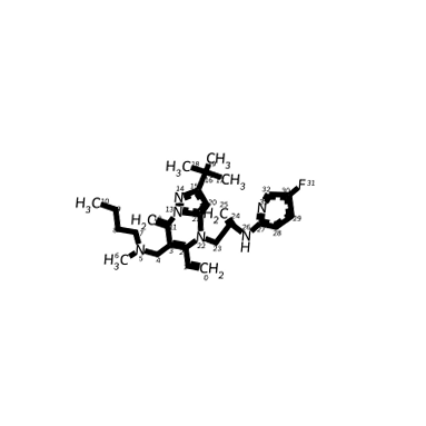 C=CC1=C(CN(C)CCCC)C(=C)n2nc(C(C)(C)C)cc2N1CC(=C)Nc1ccc(F)cn1